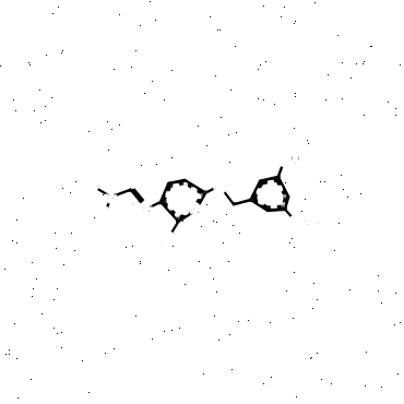 COc1cc(COc2ccc(/N=C/N(C)C(C)C)c(C)n2)cc(OC)c1